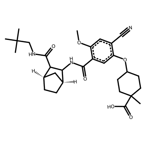 COc1cc(C#N)c(OC2CCC(C)(C(=O)O)CC2)cc1C(=O)NC1C(C(=O)NCC(C)(C)C)[C@@H]2CC[C@H]1C2